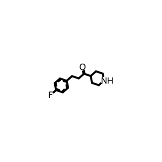 O=C(CCc1ccc(F)cc1)C1CCNCC1